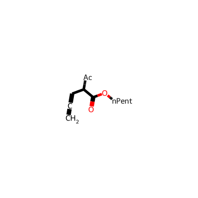 C=C=CC(C(C)=O)C(=O)OCCCCC